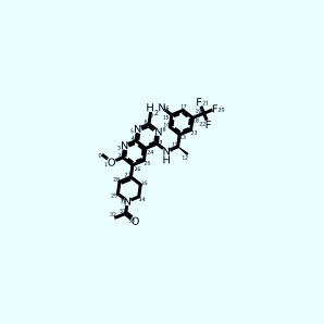 COc1nc2nc(C)nc(N[C@H](C)c3cc(N)cc(C(F)(F)F)c3)c2cc1C1=CCN(C(C)=O)CC1